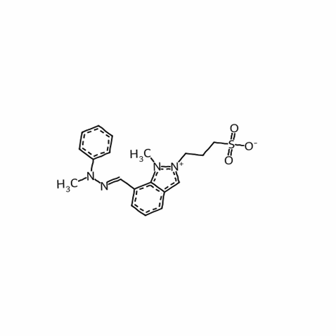 CN(N=Cc1cccc2c[n+](CCCS(=O)(=O)[O-])n(C)c12)c1ccccc1